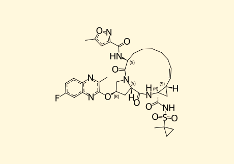 Cc1cc(C(=O)N[C@H]2CCCCCC=C[C@@H]3C[C@@]3(C(=O)NS(=O)(=O)C3(C)CC3)NC(=O)[C@@H]3C[C@@H](Oc4nc5cc(F)ccc5nc4C)CN3C2=O)no1